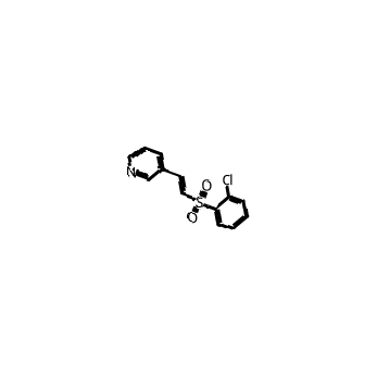 O=S(=O)(/C=C/c1cccnc1)c1ccccc1Cl